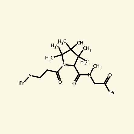 CC(C)SCCC(=O)N1C(C(=O)N(C)CC(=O)C(C)C)C(C)(C)C(C)(C)C1(C)C